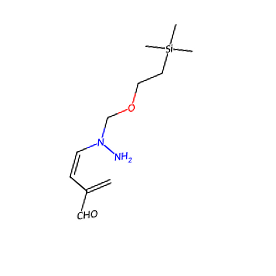 C=C(C=O)/C=C\N(N)COCC[Si](C)(C)C